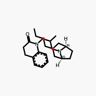 CCCCC1C[C@H]2CC[C@@H](C1)N2CC(C)CN1C(=O)CCc2ccccc21